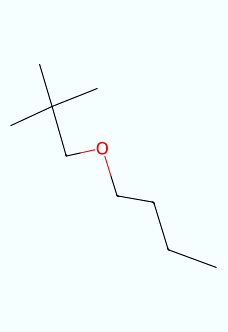 CCCCOCC(C)(C)C